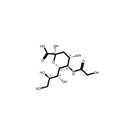 O=C(CO)N[C@H]1[C@H]([C@H](O)[C@H](O)CO)O[C@@](O)(C(=O)O)C[C@@H]1O